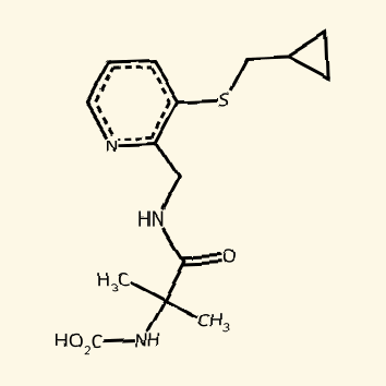 CC(C)(NC(=O)O)C(=O)NCc1ncccc1SCC1CC1